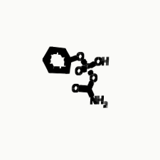 NC(=O)OP(=O)(O)Oc1ccccc1